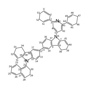 C1=CC(c2cc(-n3c4c(c5cc(-c6ccc7c(c6)c6c(n7C7=c8ccccc8=CCC7)C=CCC6)ccc53)CCC=C4)cc(C3=CCCC=C3)n2)=CCC1